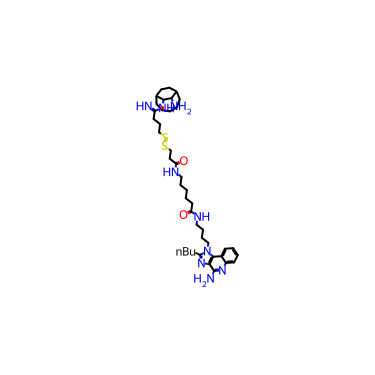 CCCCc1nc2c(N)nc3ccccc3c2n1CCCCNC(=O)CCCCCNC(=O)CCSSCCCC(=N)NC1C2CCCCCC(CC2)C1N